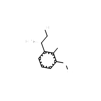 COc1cccc([C@H](N)CO)c1F